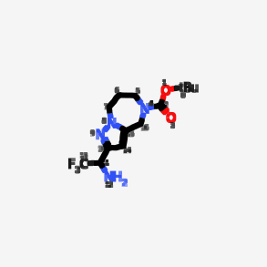 CC(C)(C)OC(=O)N1CCCn2nc(C(N)C(F)(F)F)cc2C1